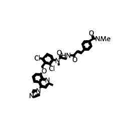 CNC(=O)c1ccc(C=CC(=O)NCC(=O)N(C)c2ccc(Cl)c(COc3cccc4c(-n5ccnc5)cc(C)nc34)c2Cl)cc1